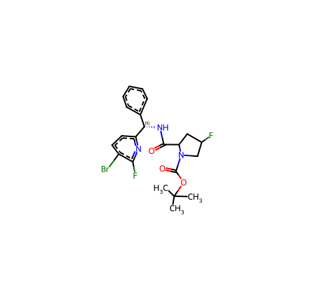 CC(C)(C)OC(=O)N1CC(F)CC1C(=O)N[C@@H](c1ccccc1)c1ccc(Br)c(F)n1